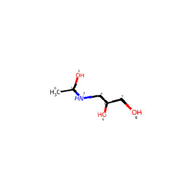 CC(O)NCC(O)CO